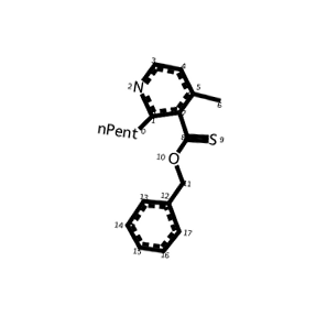 CCCCCc1nccc(C)c1C(=S)OCc1ccccc1